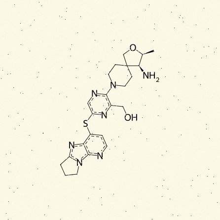 C[C@@H]1OCC2(CCN(c3ncc(Sc4ccnc5c4nc4n5CCC4)nc3CO)CC2)[C@@H]1N